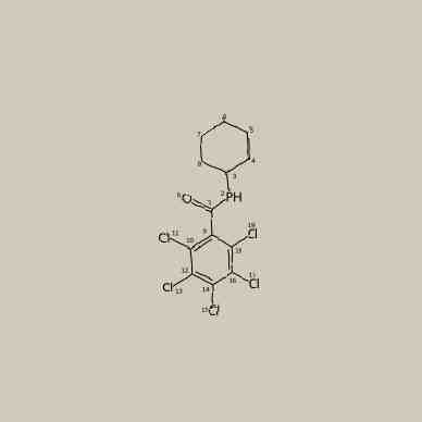 O=C(PC1CCCCC1)c1c(Cl)c(Cl)c(Cl)c(Cl)c1Cl